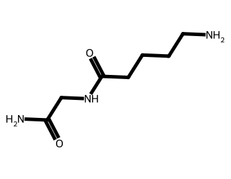 NCCCCC(=O)NCC(N)=O